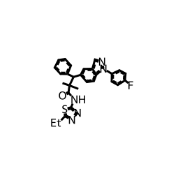 CCc1nnc(NC(=O)C(C)(C)C(c2ccccc2)c2ccc3c(cnn3-c3ccc(F)cc3)c2)s1